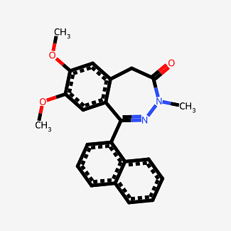 COc1cc2c(cc1OC)C(c1cccc3ccccc13)=NN(C)C(=O)C2